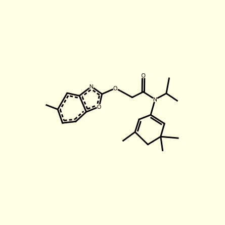 CC1=CC(N(C(=O)COc2nc3cc(C)ccc3o2)C(C)C)=CC(C)(C)C1